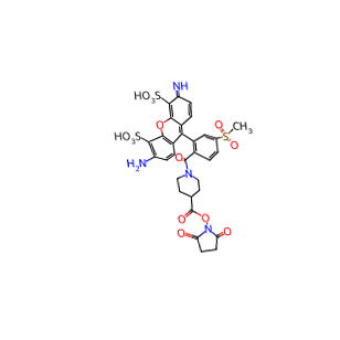 CS(=O)(=O)c1ccc(C(=O)N2CCC(C(=O)ON3C(=O)CCC3=O)CC2)c(-c2c3ccc(=N)c(S(=O)(=O)O)c-3oc3c(S(=O)(=O)O)c(N)ccc23)c1